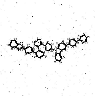 C1=C(c2ccccc2-c2ccccc2-c2ccc(-c3nc4ccccc4o3)cc2)CCC(n2c3ccccc3c3cc(-c4ccc(-c5ccccc5)cc4)ccc32)=C1